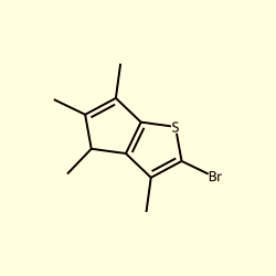 CC1=C(C)C(C)c2c1sc(Br)c2C